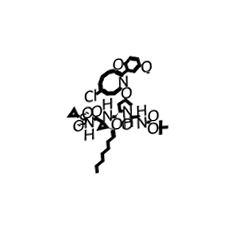 CCCCCC/C=C\[C@@H]1C[C@]1(NC(O)[C@@H]1C[C@@H](Oc2ccc(Cl)cccc3c(n2)C2C=C(OC)C=CC2O3)CN1C(=O)CNC(=O)OC(C)(C)C)C(=O)NS(=O)(=O)C1CC1